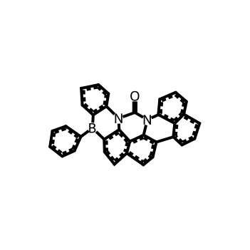 O=C1N2c3ccccc3B(c3ccccc3)c3ccc4ccc5c(c4c32)N1c1cccc2cccc-5c12